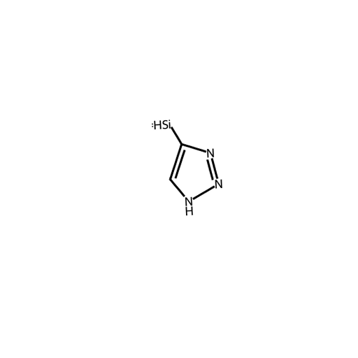 [SiH]c1c[nH]nn1